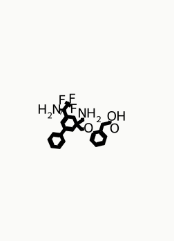 NCC1(COc2ccccc2CC(=O)O)C=C(c2ccccc2)C=C([C@@H](N)C(F)(F)F)C1